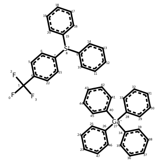 FC(F)(F)c1ccc([S+](c2ccccc2)c2ccccc2)cc1.c1cc[c]([Ga-]([c]2ccccc2)([c]2ccccc2)[c]2ccccc2)cc1